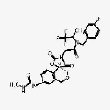 CNC(=O)Nc1ccc2c(c1)COC[C@@]21OC(=O)N(CC(=O)N(Cc2ccc(F)cc2)C(C)C(F)(F)F)C1=O